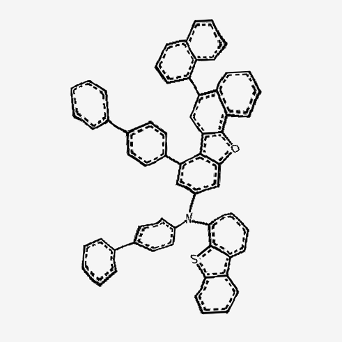 c1ccc(-c2ccc(-c3cc(N(c4ccc(-c5ccccc5)cc4)c4cccc5c4sc4ccccc45)cc4oc5c6ccccc6c(-c6cccc7ccccc67)cc5c34)cc2)cc1